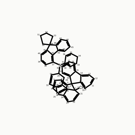 CC1(C2(c3ccccc3)c3ccccc3-c3ccccc32)C=CC=C2SC3=C(CC(N(C4=CCCC=C4)c4cccc5c4-c4ccccc4C54CCCC4)C=C3)C21